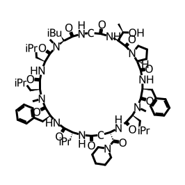 CC[C@H](C)[C@H]1C(=O)NCC(=O)N[C@@H]([C@@H](C)O)C(=O)N2CCC[C@H]2C(=O)N[C@@H](Cc2ccccc2)C(=O)N(C)[C@@H](CC(C)C)C(=O)N[C@H](C(=O)N2CCCCC2)CC(=O)N[C@H](C(C)C)C(=O)N[C@@H](Cc2ccccc2)C(=O)N(C)[C@@H](CC(C)C)C(=O)N[C@@H](CC(C)C)C(=O)N1C